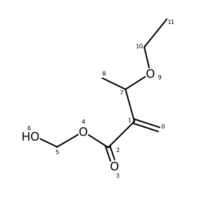 C=C(C(=O)OCO)C(C)OCC